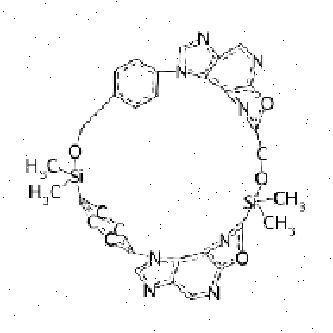 C[Si]1(C)OCc2ccc(cc2)-n2cnc3cnc4oc(nc4c32)CO[Si](C)(C)c2nc3c(ncc4ncn(c43)-c3ccc1cc3)o2